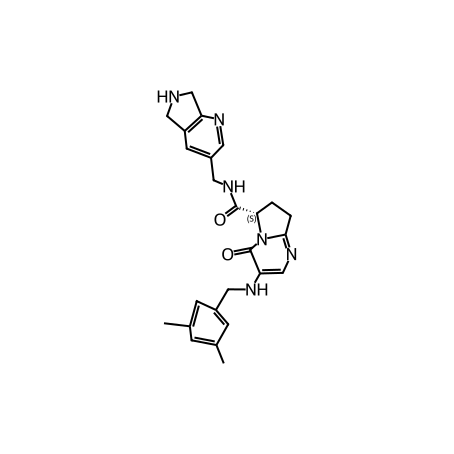 Cc1cc(C)cc(CNc2cnc3n(c2=O)[C@H](C(=O)NCc2cnc4c(c2)CNC4)CC3)c1